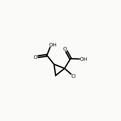 O=C(O)C1CC1(Cl)C(=O)O